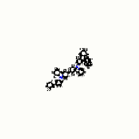 c1ccc(-c2cccc(-n3c4ccccc4c4cc(-c5ccc6c(c5)c5ccccc5n6-c5ccc6c(c5)C5(c7ccccc7-6)C6CC7CC(C6)CC5C7)ccc43)c2)cc1